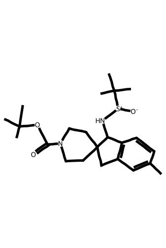 Cc1ccc2c(c1)CC1(CCN(C(=O)OC(C)(C)C)CC1)C2N[S+]([O-])C(C)(C)C